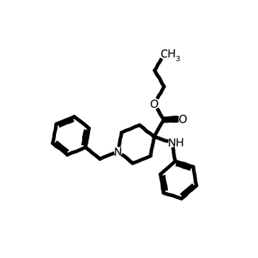 CCCOC(=O)C1(Nc2ccccc2)CCN(Cc2ccccc2)CC1